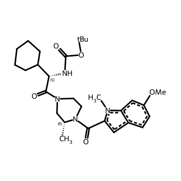 COc1ccc2cc(C(=O)N3CCN(C(=O)[C@@H](NC(=O)OC(C)(C)C)C4CCCCC4)C[C@H]3C)n(C)c2c1